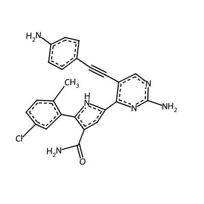 Cc1ccc(Cl)cc1-c1[nH]c(-c2nc(N)ncc2C#Cc2ccc(N)cc2)cc1C(N)=O